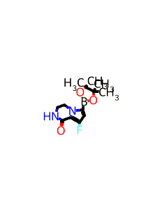 CC1(C)OB(c2cc(F)c3n2CCNC3=O)OC1(C)C